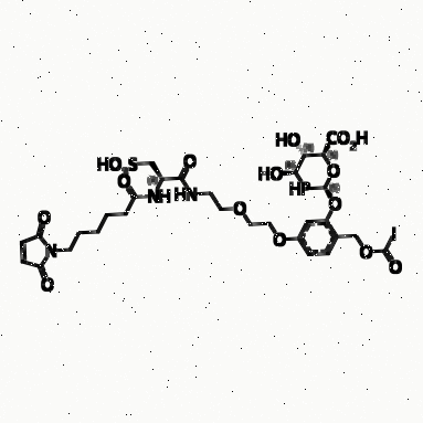 O=C(CCCCCN1C(=O)C=CC1=O)N[C@@H](CS(=O)(=O)O)C(=O)NCCOCCOc1ccc(COC(=O)I)c(O[C@@H]2O[C@H](C(=O)O)[C@@H](O)[C@H](O)P2)c1